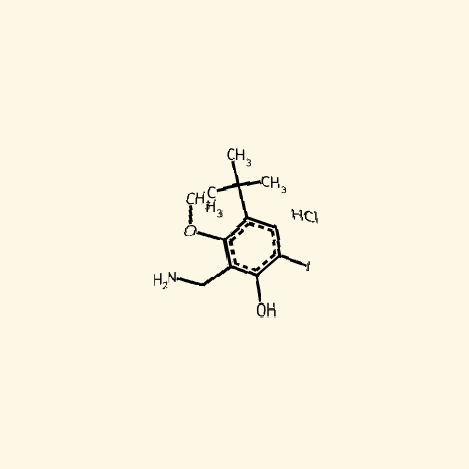 COc1c(C(C)(C)C)cc(I)c(O)c1CN.Cl